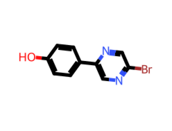 Oc1ccc(-c2cnc(Br)cn2)cc1